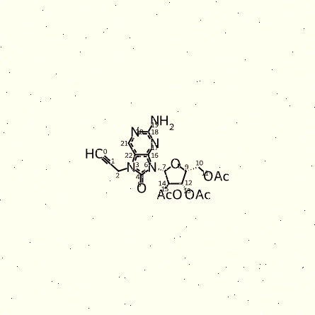 C#CCn1c(=O)n([C@@H]2O[C@H](COC(C)=O)[C@H](OC(C)=O)[C@H]2OC(C)=O)c2nc(N)ncc21